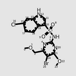 COCc1nc(NS(=O)(=O)c2c[nH]c3cc(Cl)ccc23)nc(OC)c1Br